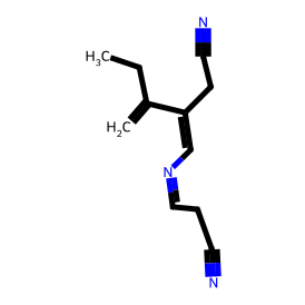 C=C(CC)/C(=C\N=C/CC#N)CC#N